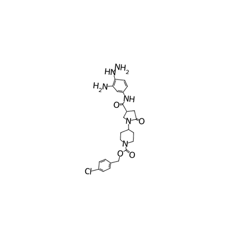 NNc1ccc(NC(=O)C2CC(=O)N(C3CCN(C(=O)OCc4ccc(Cl)cc4)CC3)C2)cc1N